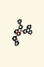 c1ccc(-c2ccc(N(c3ccc(-c4cccc5c4sc4ccccc45)cc3)c3ccc4c5ccccc5c5ccccc5c4c3)c(-c3ccccc3)c2)cc1